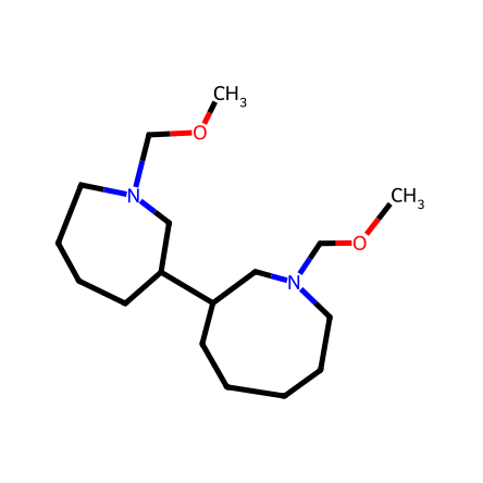 COCN1CCCCCC(C2CCCCN(COC)C2)C1